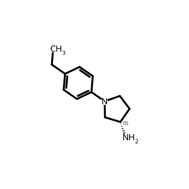 CCc1ccc(N2CC[C@H](N)C2)cc1